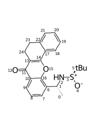 C[C@@H](N[S@+]([O-])C(C)(C)C)c1cccc2c(=O)c3c(oc12)-c1ccccc1CC3